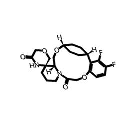 O=C1COC[C@@]2(CCCN3C(=O)COc4ccc(F)c(F)c4[C@H]4CC[C@H](CC4)OC[C@H]32)N1